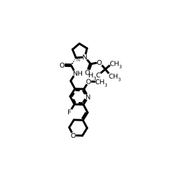 COc1nc(C=C2CCOCC2)c(F)cc1CNC(=O)[C@@H]1CCCN1C(=O)OC(C)(C)C